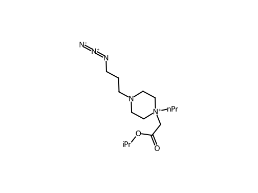 CCC[N+]1(CC(=O)OC(C)C)CCN(CCCN=[N+]=[N-])CC1